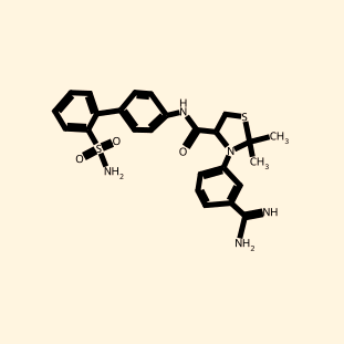 CC1(C)SCC(C(=O)Nc2ccc(-c3ccccc3S(N)(=O)=O)cc2)N1c1cccc(C(=N)N)c1